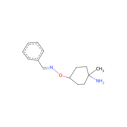 CC1(N)CCC(ON=Cc2ccccc2)CC1